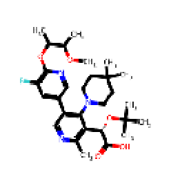 COC(C)C(C)Oc1ncc(-c2cnc(C)c([C@H](OC(C)(C)C)C(=O)O)c2N2CCC(C)(C)CC2)cc1F